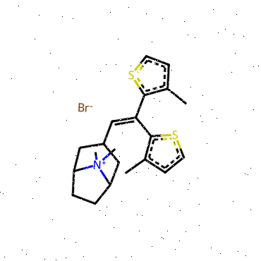 Cc1ccsc1C(=CC1CC2CCC(C1)[N+]2(C)C)c1sccc1C.[Br-]